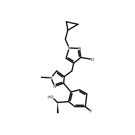 C[C@@H](O)c1cc(F)ccc1-c1nn(C)cc1Cc1cn(CC2CC2)nc1Cl